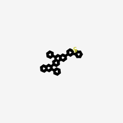 c1ccc(-c2cc3ccccc3cc2-c2ccc3c(c2)c(-c2ccccc2)cc2cc(-c4ccc5sc6ccccc6c5c4)ccc23)cc1